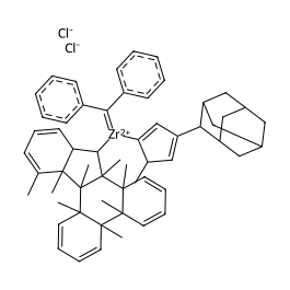 CC1=CC=CC2[CH]([Zr+2]([C]3=CC(C4C5CC6CC(C5)CC4C6)=CC3C)=[C](c3ccccc3)c3ccccc3)C3(C)C4(C)C=CC=CC4(C)C4(C)C=CC=CC4(C)C3(C)C12C.[Cl-].[Cl-]